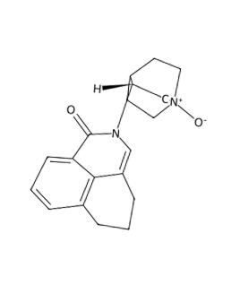 O=c1c2cccc3c2c(cn1[C@H]1C[N+]2([O-])CCC1CC2)CCC3